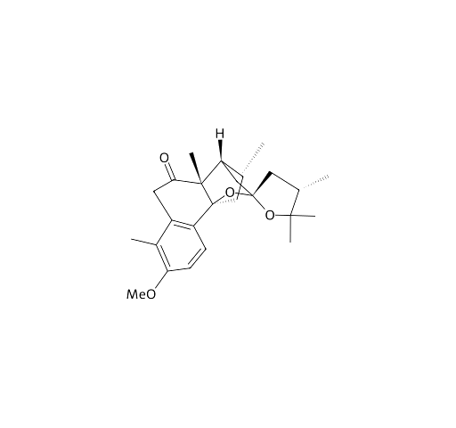 COc1ccc2c(c1C)CC(=O)[C@]1(C)[C@@H]3CC[C@]21O[C@]1(C[C@H](C)C(C)(C)O1)[C@H]3C